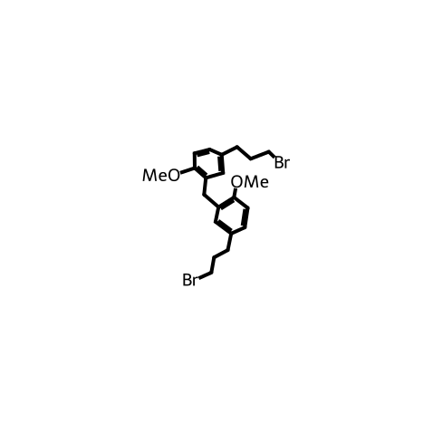 COc1ccc(CCCBr)cc1Cc1cc(CCCBr)ccc1OC